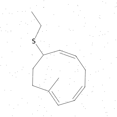 CCSC1C=CC/C=C\C=C(/C)CC1